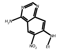 CCNc1cc2ncnc(N)c2cc1[N+](=O)[O-]